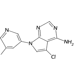 Cc1cncc(-n2cc(Cl)c3c(N)ncnc32)c1